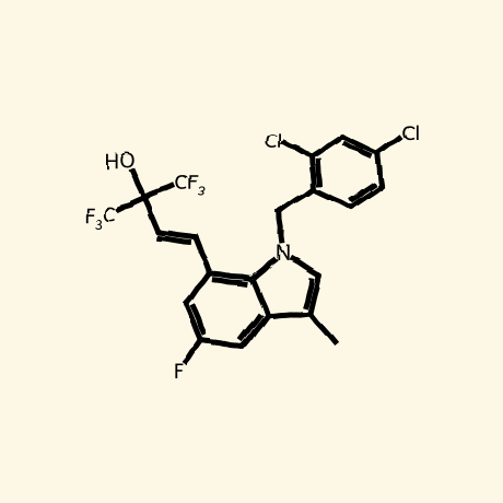 Cc1cn(Cc2ccc(Cl)cc2Cl)c2c(/C=C/C(O)(C(F)(F)F)C(F)(F)F)cc(F)cc12